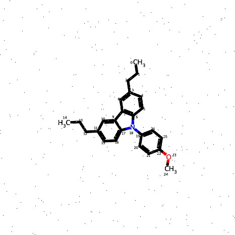 CCCc1ccc2c(c1)c1cc(CCC)ccc1n2-c1ccc(OC)cc1